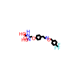 O=C(O)NC(COc1ccc(CC=NOCc2ccc(C(F)(F)F)cc2)cc1)=NO